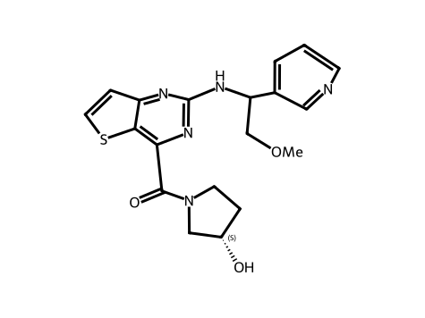 COCC(Nc1nc(C(=O)N2CC[C@H](O)C2)c2sccc2n1)c1cccnc1